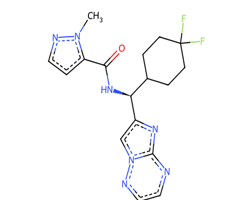 Cn1nccc1C(=O)N[C@H](c1cn2nccnc2n1)C1CCC(F)(F)CC1